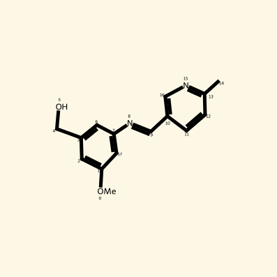 COc1cc(CO)cc(/N=C/c2ccc(C)nc2)c1